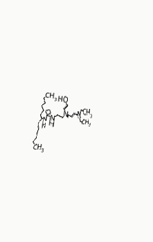 CCCCCCC(CCCCCC)NC(=O)NCCN(CCO)CCN(CC)CC